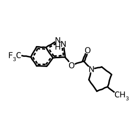 CC1CCN(C(=O)Oc2n[nH]c3cc(C(F)(F)F)ccc23)CC1